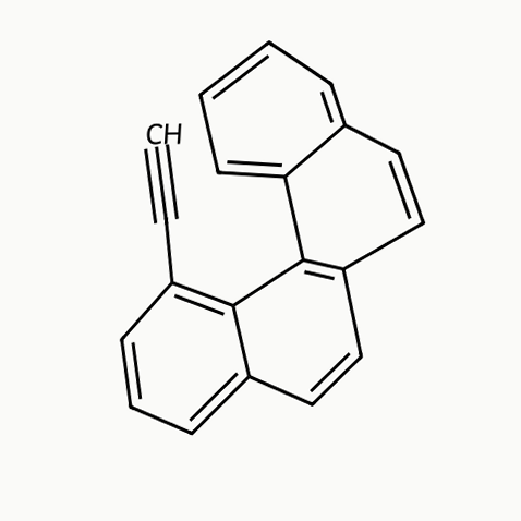 C#Cc1cccc2ccc3ccc4ccccc4c3c12